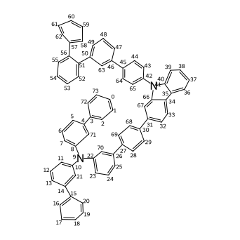 c1ccc(-c2cccc(N(c3cccc(-c4ccccc4)c3)c3cccc(-c4ccc(-c5ccc6c7ccccc7n(-c7ccc(-c8cccc(-c9ccccc9-c9ccccc9)c8)cc7)c6c5)cc4)c3)c2)cc1